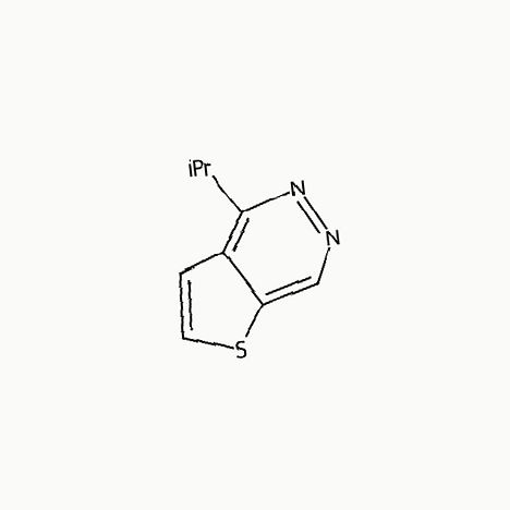 CC(C)c1nncc2sccc12